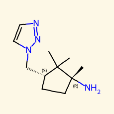 CC1(C)[C@@H](Cn2ccnn2)CC[C@@]1(C)N